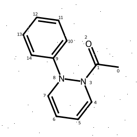 CC(=O)N1C=CC=CN1c1ccccc1